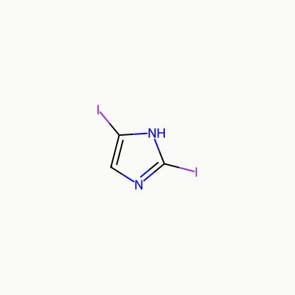 Ic1cnc(I)[nH]1